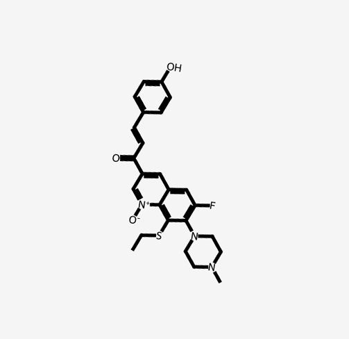 CCSc1c(N2CCN(C)CC2)c(F)cc2cc(C(=O)C=Cc3ccc(O)cc3)c[n+]([O-])c12